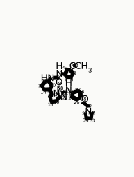 COc1cccc(NC(=O)Nc2cccc(-c3cccc4nc(Nc5ccc(OCCN6CCCC6)cc5)nn34)c2)c1